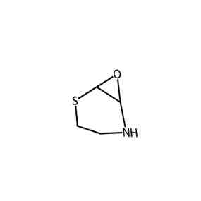 C1CSC2OC2N1